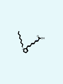 CCCCCCCC[C@H]1CCC=C1C=CC=C/C=C/C(=O)O